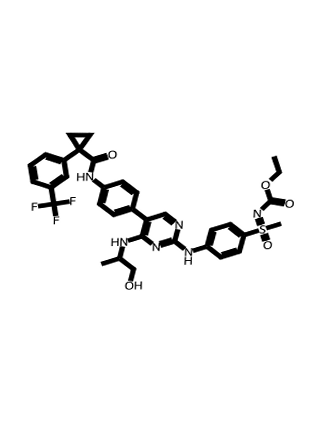 CCOC(=O)N=S(C)(=O)c1ccc(Nc2ncc(-c3ccc(NC(=O)C4(c5cccc(C(F)(F)F)c5)CC4)cc3)c(NC(C)CO)n2)cc1